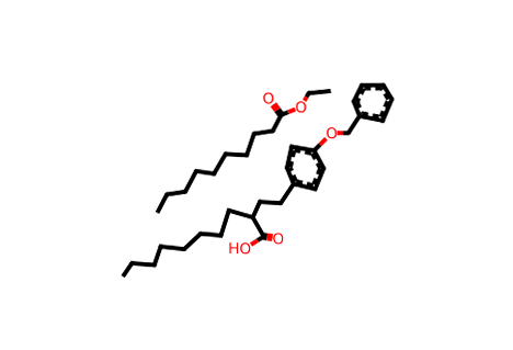 CCCCCCCCC(CCc1ccc(OCc2ccccc2)cc1)C(=O)O.CCCCCCCCCC(=O)OCC